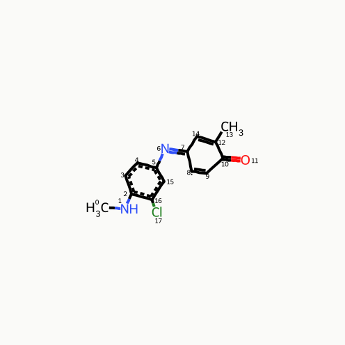 CNc1ccc(N=C2[C]=CC(=O)C(C)=C2)cc1Cl